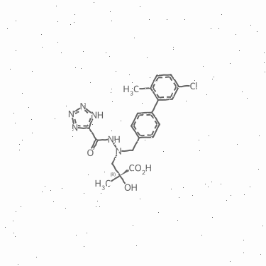 Cc1ccc(Cl)cc1-c1ccc(CN(C[C@@](C)(O)C(=O)O)NC(=O)c2nnn[nH]2)cc1